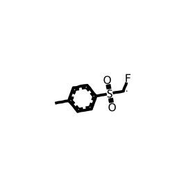 Cc1ccc(S(=O)(=O)[CH]F)cc1